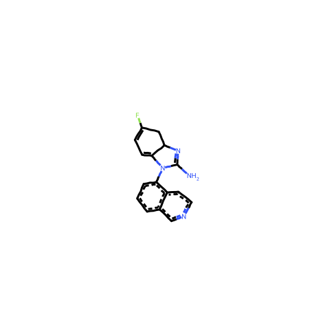 NC1=NC2CC(F)=CC=C2N1c1cccc2cnccc12